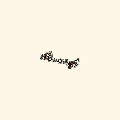 C=C1CC[C@@]2(O)[C@@H]3C(CC4Cc5ccc(OC(=O)OCC6CCC(COC(=O)Oc7ccc8c9c7O[C@H]7C(=C)CC[C@@]%10(O)[C@@H](C8)N(CC8CC8)CC[C@]97%10)CC6)c6c5[C@@]2(C4)[C@H]1O6)N3CC1CC1